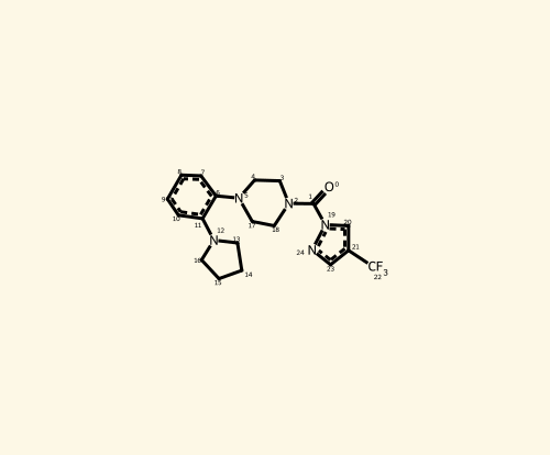 O=C(N1CCN(c2ccccc2N2CCCC2)CC1)n1cc(C(F)(F)F)cn1